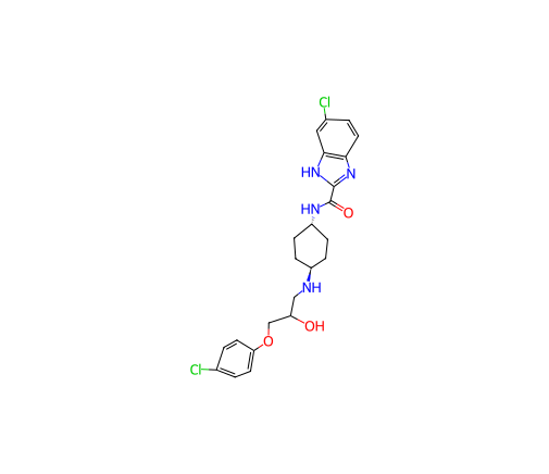 O=C(N[C@H]1CC[C@H](NCC(O)COc2ccc(Cl)cc2)CC1)c1nc2ccc(Cl)cc2[nH]1